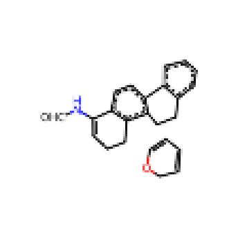 C1=CCOC=C1.O=CNC1=CCCc2c1ccc1c2CCc2ccccc2-1